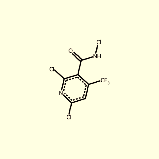 O=C(NCl)c1c(C(F)(F)F)cc(Cl)nc1Cl